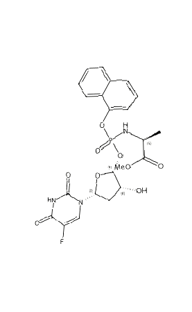 COC(=O)[C@H](C)NP(=O)(Oc1cccc2ccccc12)O[C@H]1O[C@@H](n2cc(F)c(=O)[nH]c2=O)C[C@H]1O